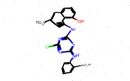 O=S(=O)(O)c1cc(Nc2nc(Cl)nc(Nc3ccccc3S(=O)(=O)O)n2)c2c(O)cccc2c1